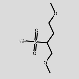 COCCC(COC)S([NH])(=O)=O